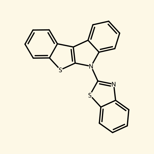 c1ccc2sc(-n3c4ccccc4c4c5ccccc5sc43)nc2c1